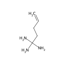 C=CCCC(N)(N)N